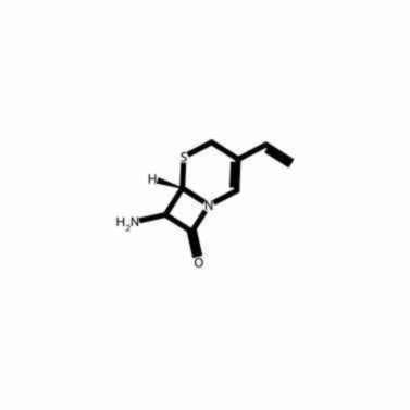 C=CC1=CN2C(=O)C(N)[C@@H]2SC1